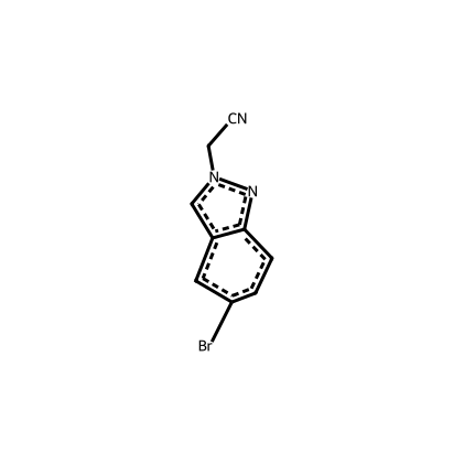 N#CCn1cc2cc(Br)ccc2n1